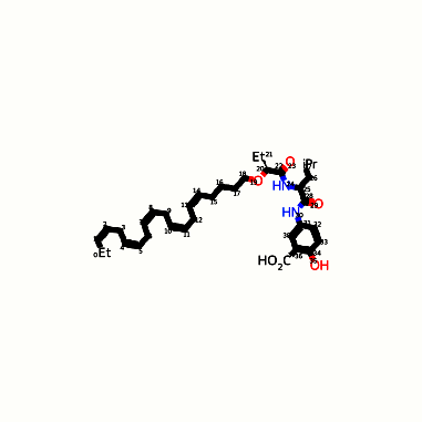 CC/C=C\C/C=C\C/C=C\C/C=C\C/C=C\CCCCO[C@H](CC)C(=O)NC(CC(C)C)C(=O)Nc1ccc(O)c(C(=O)O)c1